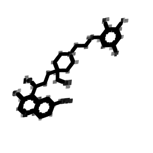 COc1ccc2ncc(Cl)c([C@@H](O)CCC3(CO)CCN(CCSc4cc(F)cc(F)c4F)CC3)c2c1